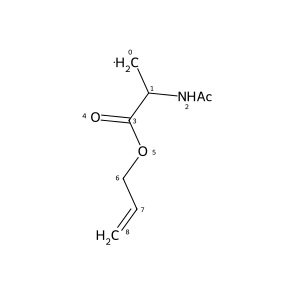 [CH2]C(NC(C)=O)C(=O)OCC=C